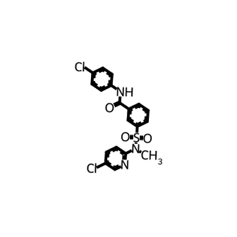 CN(c1ccc(Cl)cn1)S(=O)(=O)c1cccc(C(=O)Nc2ccc(Cl)cc2)c1